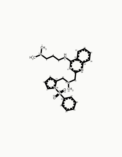 CN(C)CCCNc1nc(CN(C)Cc2cccn2S(=O)(=O)c2ccccc2)nc2ccccc12